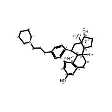 C[C@]12C[C@H](c3ccc(CCCN4CCCCC4)cc3)[C@@H]3c4ccc(O)cc4CC[C@H]3[C@@H]1CC[C@@H]2O